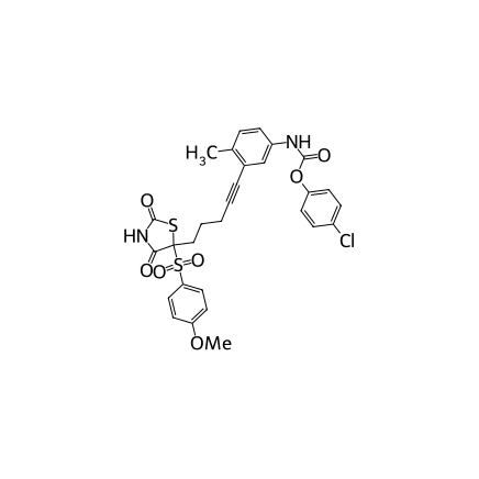 COc1ccc(S(=O)(=O)C2(CCCC#Cc3cc(NC(=O)Oc4ccc(Cl)cc4)ccc3C)SC(=O)NC2=O)cc1